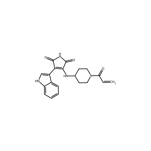 C=CC(=O)N1CCC(NC2=C(c3c[nH]c4ccccc34)C(=O)NC2=O)CC1